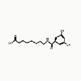 O=C(O)CCCCCCCNC(=O)c1cc(O)cc(O)c1